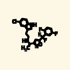 C=C(NCCc1c[nH]c2ccc(Cl)cc12)c1cc(C(F)(F)c2cc(F)ccc2F)on1